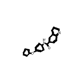 O=C(Nc1ccc(Oc2ccccc2)cc1)c1ccc2ncccc2c1